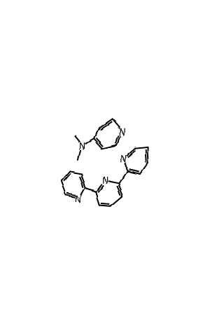 CN(C)c1ccncc1.c1ccc(-c2cccc(-c3ccccn3)n2)nc1